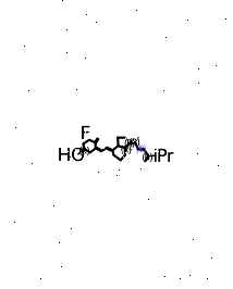 C=C1C(=CC=C2CCC[C@@]3(C)C2CC[C@@H]3[C@H](C)/C=C/[C@H](C)C(C)C)C[C@@H](O)CC1F